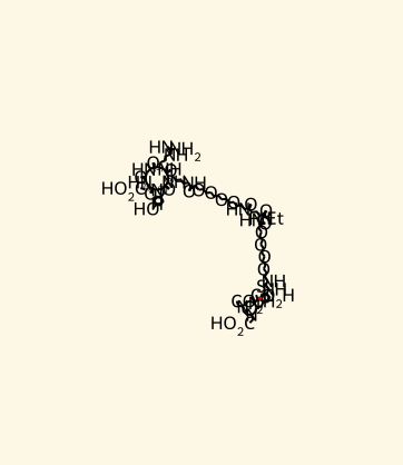 CCNC(=O)C(CCC(=O)NCCOCCOCCOCCOCC(=O)NCCCC[C@@H]1NC(=O)[C@@H](Cc2ccc(O)cc2)NC(=O)[C@H](CC(=O)O)NC(=O)CNC(=O)[C@H](CCCNC(=N)N)NC1=O)NC(=O)COCCOCCOCCOCCNC(=S)Nc1ccc(CC2CN(CC(=O)O)CCN(CC(=O)O)CCN2CC(=O)O)cc1